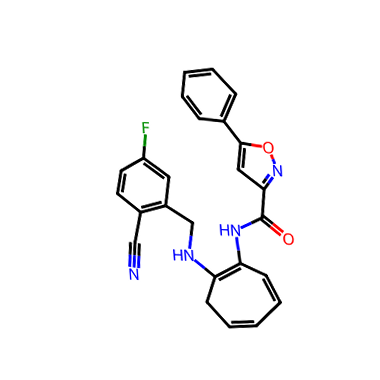 N#Cc1ccc(F)cc1CNC1=C(NC(=O)c2cc(-c3ccccc3)on2)C=CC=CC1